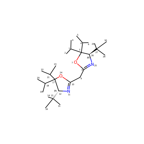 CC(C)C1(C(C)C)OC(CC2=N[C@H](C(C)(C)C)C(C(C)C)(C(C)C)O2)=N[C@@H]1C(C)(C)C